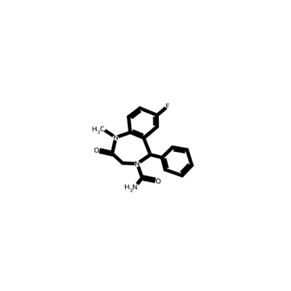 CN1C(=O)CN(C(N)=O)C(c2ccccc2)c2cc(F)ccc21